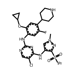 CC(C)S(=O)(=O)c1nn(C)cc1Nc1nc(Nc2cc(F)c(C3CCNCC3)cc2OC2CC2)ncc1Cl